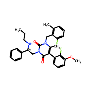 CCCN[C@@H](Cn1c(=O)c(-c2cccc(OC)c2F)c(C)n(Cc2c(C)cccc2F)c1=O)c1ccccc1